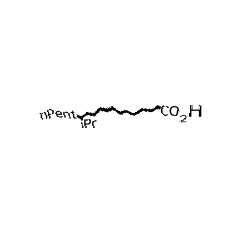 CCCCCC(CCCCCCCCCCCC(=O)O)C(C)C